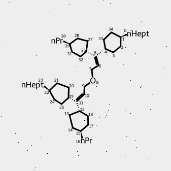 CCCCCCC[C@H]1CC[C@H](C(=CCOCC=C([C@H]2CC[C@H](CCC)CC2)[C@H]2CC[C@H](CCCCCCC)CC2)[C@H]2CC[C@H](CCC)CC2)CC1